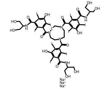 O=C(NC(CO)CO)c1c(I)c(O)c(I)c(C(=O)N2CCN(C(=O)c3c(I)c(O)c(I)c(C(=O)NC(CO)CO)c3I)CCN(C(=O)c3c(I)c(O)c(I)c(C(=O)NC(CO)CO)c3I)CC2)c1I.[Na+].[Na+].[Na+]